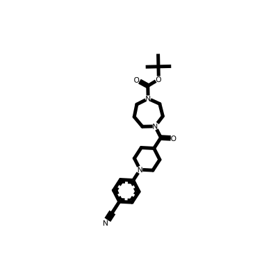 CC(C)(C)OC(=O)N1CCCN(C(=O)C2CCN(c3ccc(C#N)cc3)CC2)CC1